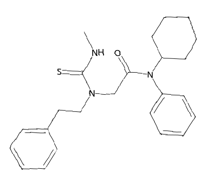 CNC(=S)N(CCc1ccccc1)CC(=O)N(c1ccccc1)C1CCCCC1